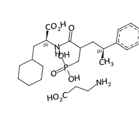 C[C@@H](CC(CP(=O)(O)O)C(=O)N[C@@H](CC1CCCCC1)C(=O)O)c1ccccc1.NCCC(=O)O